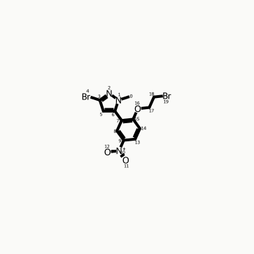 Cn1nc(Br)cc1-c1cc([N+](=O)[O-])ccc1OCCBr